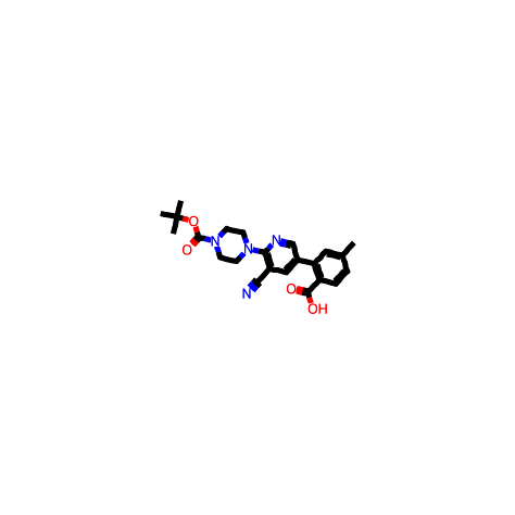 Cc1ccc(C(=O)O)c(-c2cnc(N3CCN(C(=O)OC(C)(C)C)CC3)c(C#N)c2)c1